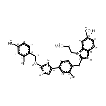 COCCn1c(Cc2ccc(-c3csc(OCc4ccc(C#N)cc4F)n3)cc2F)nc2ccc(C(=O)O)cc21